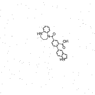 C[C@H]1CCN(C(=O)c2ccc(-c3ccc4[nH]ccc4c3)c(C(=O)O)c2)c2ccccc2N1